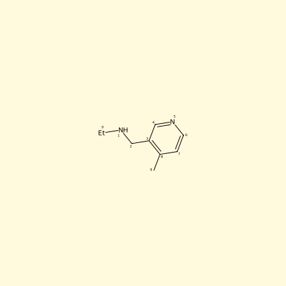 CCNCc1cnccc1C